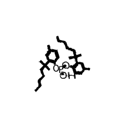 CCCCCC(C)(C)c1cc(C)ccc1OP(O)Oc1ccc(C)cc1C(C)(C)CCCCC